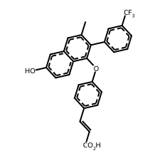 Cc1cc2cc(O)ccc2c(Oc2ccc(C=CC(=O)O)cc2)c1-c1cccc(C(F)(F)F)c1